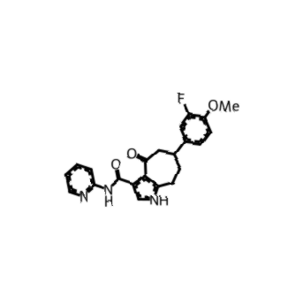 COc1ccc(C2CCc3[nH]cc(C(=O)Nc4ccccn4)c3C(=O)C2)cc1F